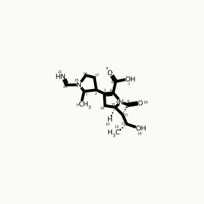 CC1C(C2=C(C(=O)O)N3C(=O)[C@H]([C@@H](C)O)[C@H]3C2)CCN1C=N